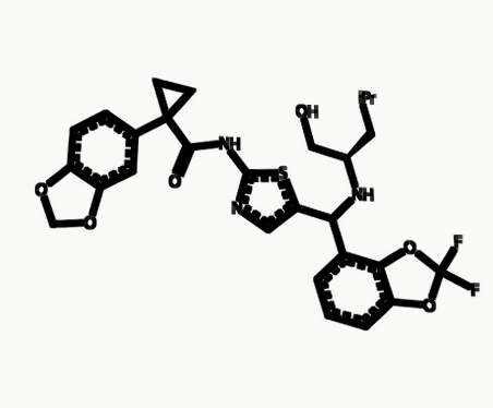 CC(C)C[C@H](CO)NC(c1cnc(NC(=O)C2(c3ccc4c(c3)OCO4)CC2)s1)c1cccc2c1OC(F)(F)O2